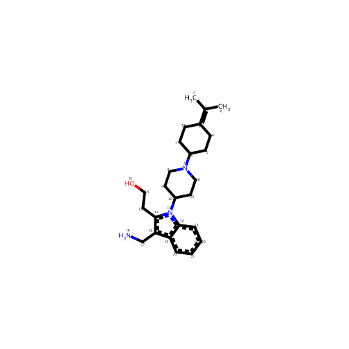 CC(C)=C1CCC(N2CCC(n3c(CCO)c(CN)c4ccccc43)CC2)CC1